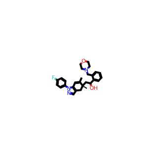 CC1=Cc2c(cnn2-c2ccc(F)cc2)C[C@@]1(C)CC(O)c1ccccc1CN1CCOCC1